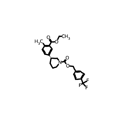 CCOC(=O)c1cc([C@H]2CCCN(C(=O)OCc3ccc(C(F)(F)F)cc3)C2)ccc1C